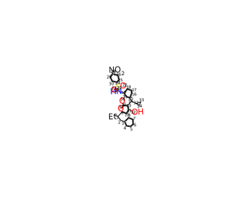 CCC(Cc1ccccc1)c1cc(O)c(C(c2cccc(NS(=O)(=O)c3ccc([N+](=O)[O-])cc3)c2)C2CC2)c(=O)o1